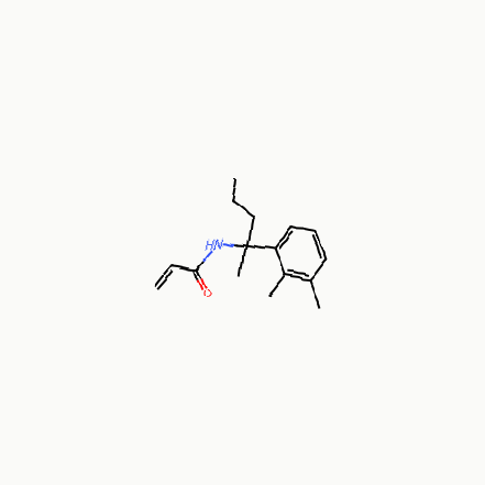 C=CC(=O)NC(C)(CCC)c1cccc(C)c1C